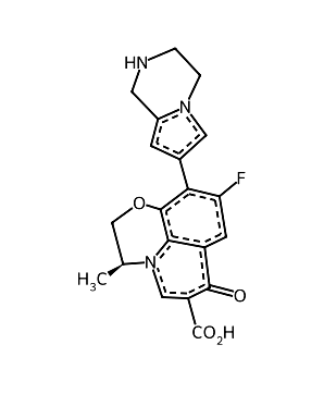 C[C@H]1COc2c(-c3cc4n(c3)CCNC4)c(F)cc3c(=O)c(C(=O)O)cn1c23